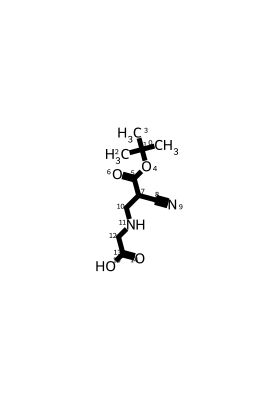 CC(C)(C)OC(=O)C(C#N)CNCC(=O)O